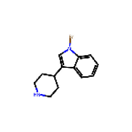 Brn1cc(C2CCNCC2)c2ccccc21